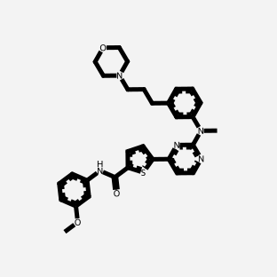 COc1cccc(NC(=O)c2ccc(-c3ccnc(N(C)c4cccc(CCCN5CCOCC5)c4)n3)s2)c1